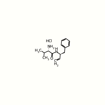 C=C[C@H](Cc1ccccc1)NC(=O)[C@@H](N)C(C)C.Cl